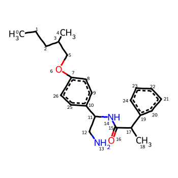 CCCC(C)COc1ccc(C(CN)NC(=O)C(C)c2ccccc2)cc1